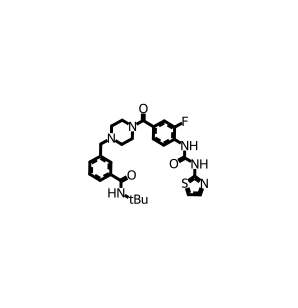 CC(C)(C)NC(=O)c1cccc(CN2CCN(C(=O)c3ccc(NC(=O)Nc4nccs4)c(F)c3)CC2)c1